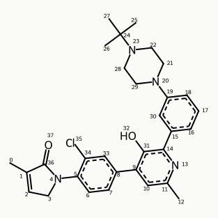 CC1=CCN(c2ccc(-c3cc(C)nc(-c4cccc(N5CCN(C(C)(C)C)CC5)c4)c3O)cc2Cl)C1=O